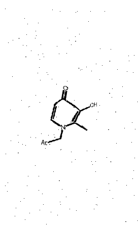 CC(=O)Cn1ccc(=O)c(O)c1C